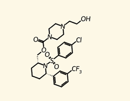 O=C(OC[C@H]1CCC[C@@H](c2cccc(C(F)(F)F)c2)N1S(=O)(=O)c1ccc(Cl)cc1)N1CCN(CCO)CC1